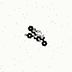 CCC(c1ccccc1)c1ccc(CN(C(=O)C(Cc2ccccc2)N(C)C)c2ccc(F)cc2)cn1